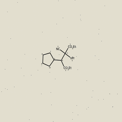 CCCC(C#N)(C(=O)OCC)C(C(=O)OCC)C1CCCC1